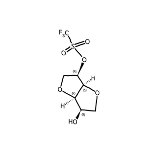 O=S(=O)(O[C@@H]1CO[C@H]2[C@@H]1OC[C@H]2O)C(F)(F)F